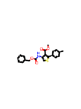 COC(=O)c1c(NC(=O)OCc2ccccc2)csc1-c1ccc(C)cc1